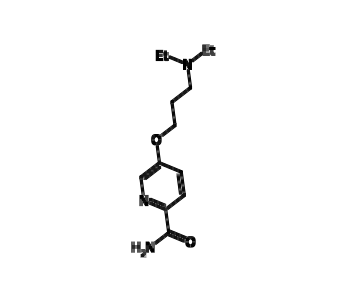 CCN(CC)CCCOc1ccc(C(N)=O)nc1